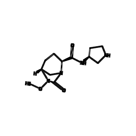 O=C(N[C@H]1CCNC1)[C@@H]1CC[C@@H]2CN1C(=O)N2OS